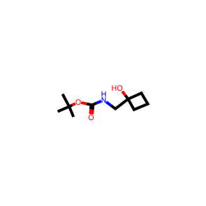 CC(C)(C)OC(=O)NCC1(O)CCC1